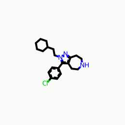 Clc1ccc(-c2c3c(nn2CCC2CCCCC2)CCNCC3)cc1